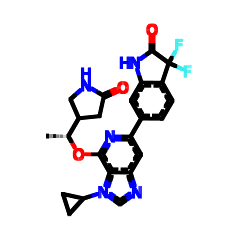 C[C@@H](Oc1nc(-c2ccc3c(c2)NC(=O)C3(F)F)cc2ncn(C3CC3)c12)C1CNC(=O)C1